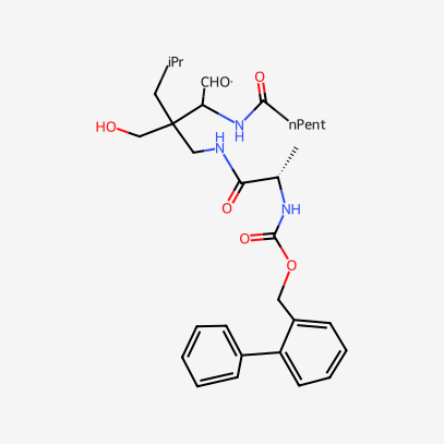 CCCCCC(=O)NC([C]=O)C(CO)(CNC(=O)[C@H](C)NC(=O)OCc1ccccc1-c1ccccc1)CC(C)C